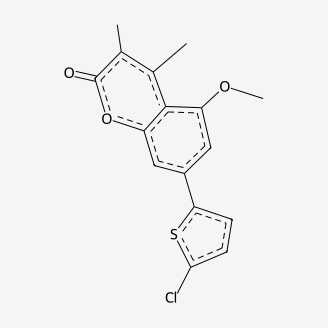 COc1cc(-c2ccc(Cl)s2)cc2oc(=O)c(C)c(C)c12